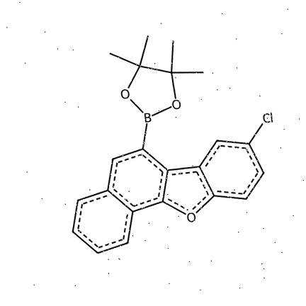 CC1(C)OB(c2cc3ccccc3c3oc4ccc(Cl)cc4c23)OC1(C)C